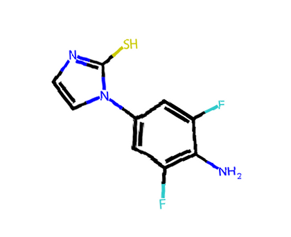 Nc1c(F)cc(-n2ccnc2S)cc1F